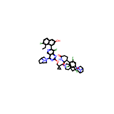 CCc1c(F)ccc2cc(O)cc(-c3ncc4c(N5CC6CCC(C5)N6)nc(OCC5(CN6CCC7(CC6)CC(F)(CN6C8CC6CN(c6cc(F)c(C9CCC(=O)NC9=O)c(F)c6)C8)C7)CC5)nc4c3F)c12